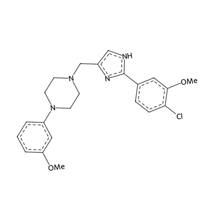 COc1cccc(N2CCN(Cc3c[nH]c(-c4ccc(Cl)c(OC)c4)n3)CC2)c1